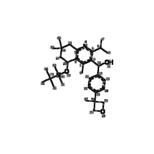 Cc1c2c(nc(C(C)C)c1C(O)c1ccc(C3(C)COC3)cc1)CC(C)(C)CC2O[Si](C)(C)C(C)(C)C